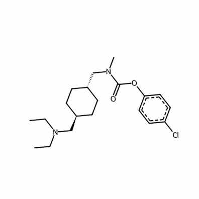 CCN(CC)C[C@H]1CC[C@H](CN(C)C(=O)Oc2ccc(Cl)cc2)CC1